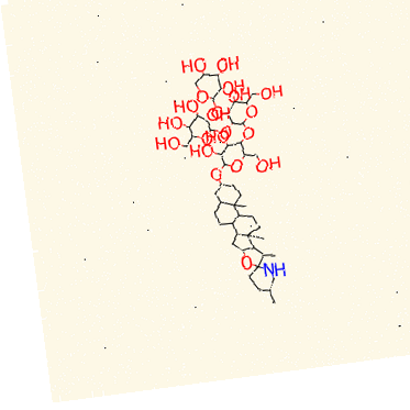 CC1CCC2(NC1)OC1CC3C4CCC5CC(OC6OC(CO)C(OC7OC(CO)C(O)C(OC8OCC(O)C(O)C8O)C7OC7OC(CO)C(O)C(O)C7O)C(O)C6O)CCC5(C)C4CCC3(C)C1C2C